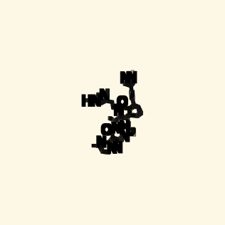 Cc1ccn2nc(N)c(C(=O)N[C@@H](C)c3cc4cccc(C#Cc5cnn(C)c5)c4c(=O)n3CCc3c[nH]cn3)c2n1